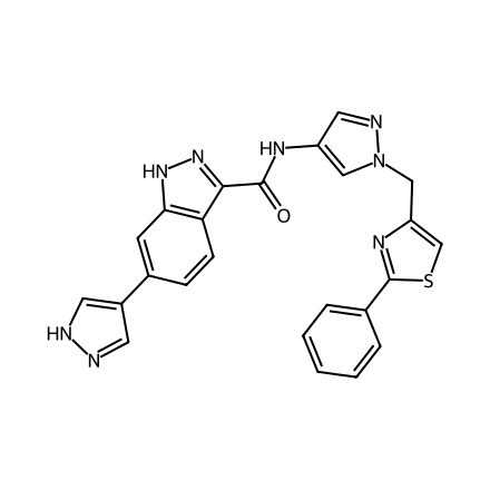 O=C(Nc1cnn(Cc2csc(-c3ccccc3)n2)c1)c1n[nH]c2cc(-c3cn[nH]c3)ccc12